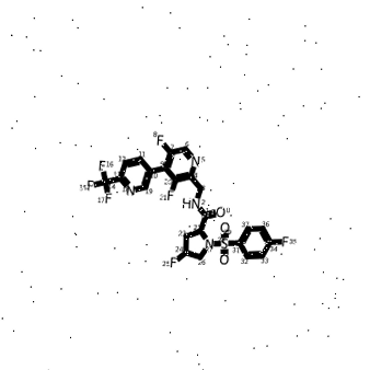 O=C(NCc1ncc(F)c(-c2ccc(C(F)(F)F)nc2)c1F)C1CC(F)CN1S(=O)(=O)c1ccc(F)cc1